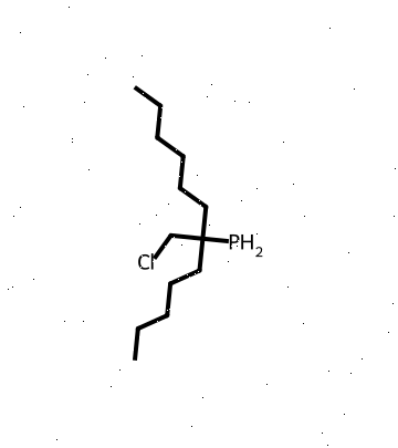 CCCCCCC(P)(CCl)CCCCC